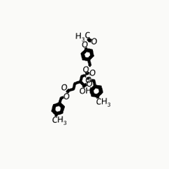 CC(=O)Oc1ccc(COP(=O)(CC(CCC(=O)OCc2ccc(C)cc2)C(=O)O)OCc2ccc(C)cc2)cc1